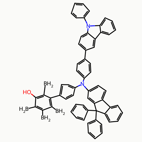 Bc1c(B)c(O)c(B)c(-c2ccc(N(c3ccc(-c4ccc5c(c4)c4ccccc4n5-c4ccccc4)cc3)c3ccc4c(c3)C(c3ccccc3)(c3ccccc3)c3ccccc3-4)cc2)c1B